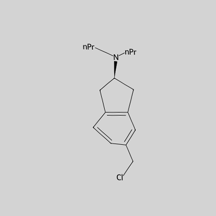 CCCN(CCC)[C@@H]1Cc2ccc(CCl)cc2C1